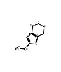 CC(C)OC1=CC2=C([CH]1)CCCC2